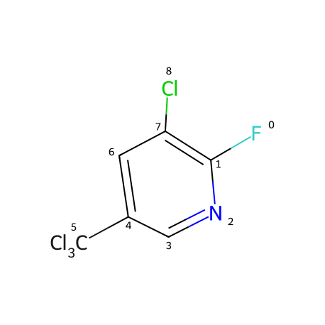 Fc1ncc(C(Cl)(Cl)Cl)cc1Cl